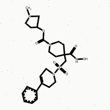 CN1CCC(OC(=O)N2CCC(CS(=O)(=O)N3CC=C(c4ccccc4)CC3)(C(=O)NO)CC2)C1